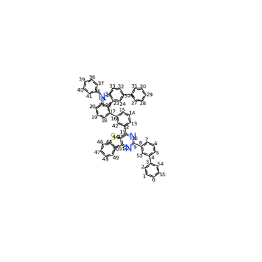 c1ccc(-c2cccc(-c3nc(-c4cccc(-c5cccc6c5c5cc(-c7ccccc7)ccc5n6-c5ccccc5)c4)c4sc5ccccc5c4n3)c2)cc1